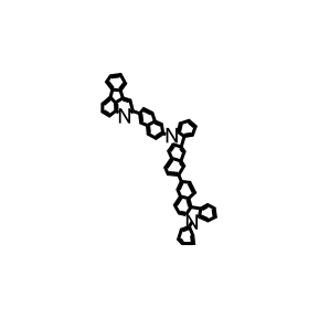 c1ccc(-n2c3ccccc3c3c4ccc(-c5ccc6cc7c(cc6c5)c5ccccc5n7-c5ccc6cc(-c7cc8c9c(cccc9n7)-c7ccccc7-8)ccc6c5)cc4ccc32)cc1